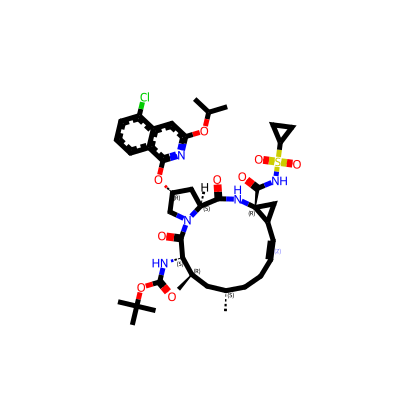 CC(C)Oc1cc2c(Cl)cccc2c(O[C@@H]2C[C@H]3C(=O)N[C@]4(C(=O)NS(=O)(=O)C5CC5)CC4/C=C\CC[C@H](C)C[C@@H](C)[C@H](NC(=O)OC(C)(C)C)C(=O)N3C2)n1